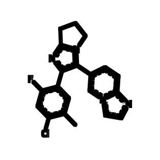 Cc1cc(-c2nc3n(c2-c2ccc4nccn4c2)CCC3)c(F)cc1Cl